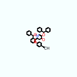 C#Cc1ccc(OC=C2CC(=O)C(OC(c3ccccc3)c3ccccc3)=CN2OC(c2ccccc2)c2ccccc2)cc1